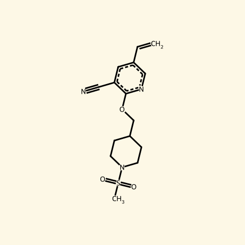 C=Cc1cnc(OCC2CCN(S(C)(=O)=O)CC2)c(C#N)c1